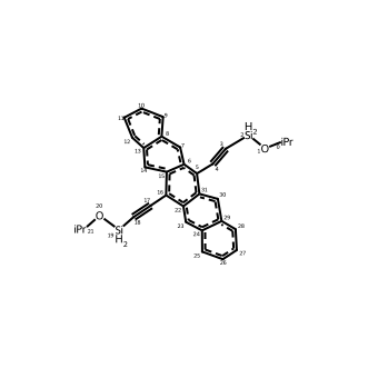 CC(C)O[SiH2]C#Cc1c2cc3ccccc3cc2c(C#C[SiH2]OC(C)C)c2cc3ccccc3cc12